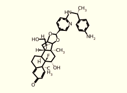 C[C@@H](Nc1ccc([C@@H]2O[C@@H]3C[C@H]4[C@@H]5CCC6=CC(=O)C=C[C@]6(C)[C@@]5(F)[C@@H](O)C[C@]4(C)[C@]3(C(=O)CO)O2)cn1)c1ccc(N)cc1